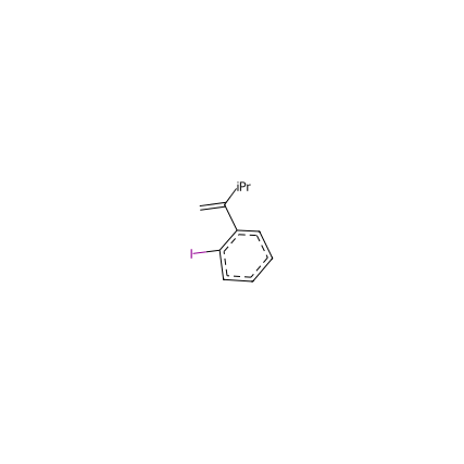 C=C(c1ccccc1I)C(C)C